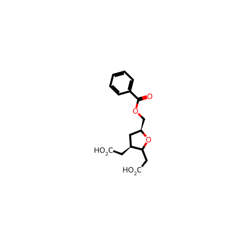 O=C(O)CC1O[C@H](COC(=O)c2ccccc2)C[C@@H]1CC(=O)O